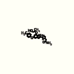 Cc1ccc(Oc2cc(OC(C)CO)c3[nH]c(C4=NCC(CC(N)=O)S4)cc3c2)cc1